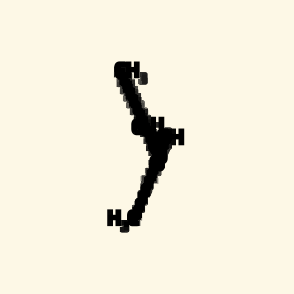 CCCCCCCCCCCCCCCOCOC1CCC(CCCSC(=O)CCCCCCCCCCCCCCC)[SiH2]N(O)CC1